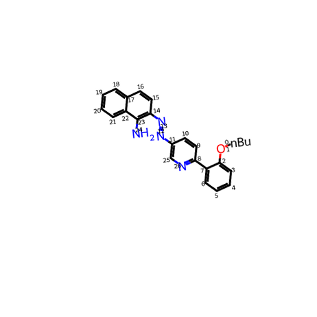 CCCCOc1ccccc1-c1ccc(N=Nc2ccc3ccccc3c2N)cn1